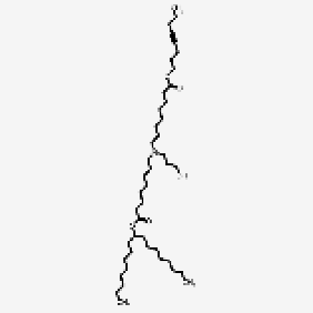 CCCC#CCCCOC(=O)CCCCCCCN(CCCO)CCCCCCCC(=O)OC(CCCCCCCC)CCCCCCCC